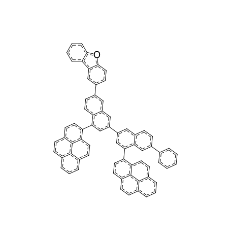 c1ccc(-c2ccc3cc(-c4cc(-c5ccc6ccc7cccc8ccc5c6c78)c5ccc(-c6ccc7oc8ccccc8c7c6)cc5c4)cc(-c4ccc5ccc6cccc7ccc4c5c67)c3c2)cc1